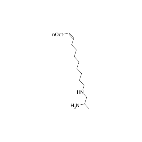 CCCCCCCC/C=C\CCCCCCCCNCC(C)N